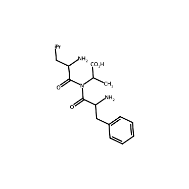 CC(C)CC(N)C(=O)N(C(=O)C(N)Cc1ccccc1)C(C)C(=O)O